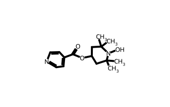 CC1(C)CC(OC(=O)c2ccncc2)CC(C)(C)N1O